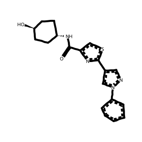 O=C(N[C@H]1CC[C@H](O)CC1)c1csc(-c2cnn(-c3ccccc3)c2)n1